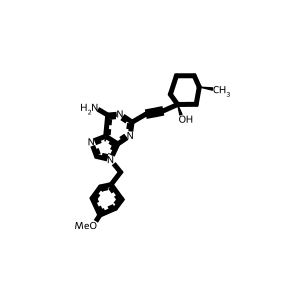 COc1ccc(Cn2cnc3c(N)nc(C#C[C@]4(O)CCC[C@@H](C)C4)nc32)cc1